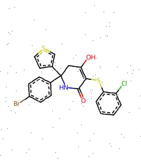 O=C1NC(c2ccc(Br)cc2)(c2ccsc2)CC(O)=C1Sc1ccccc1Cl